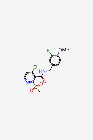 COc1ccc(CNC(=O)c2c(Cl)ccnc2S(C)(=O)=O)cc1F